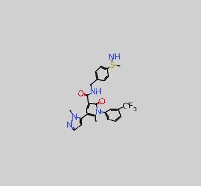 Cc1c(-c2ccnn2C)cc(C(=O)NCc2ccc(S(C)=N)cc2)c(=O)n1-c1cccc(C(F)(F)F)c1